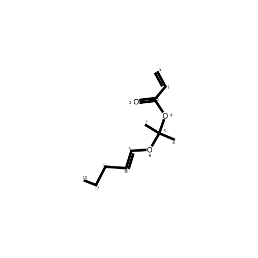 C=CC(=O)OC(C)(C)OC=CCCC